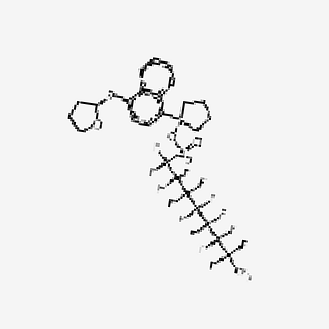 O=S(=O)(OS1(c2ccc(OC3CCCO3)c3ccccc23)CCCC1)C(F)(F)C(F)(F)C(F)(F)C(F)(F)C(F)(F)C(F)(F)C(F)(F)C(F)(F)F